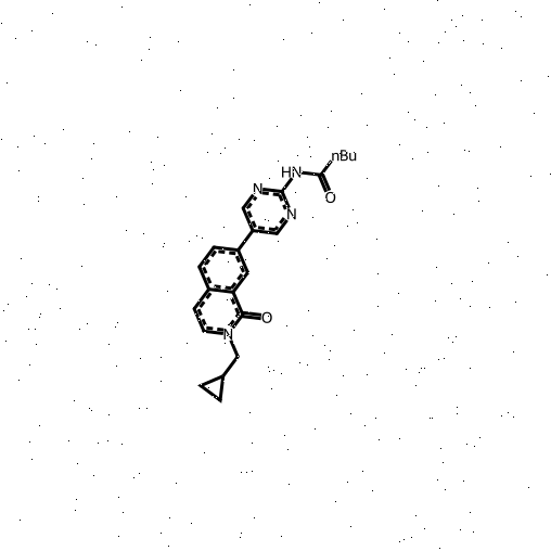 CCCCC(=O)Nc1ncc(-c2ccc3ccn(CC4CC4)c(=O)c3c2)cn1